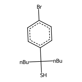 CCCCC(S)(CCCC)c1ccc(Br)cc1